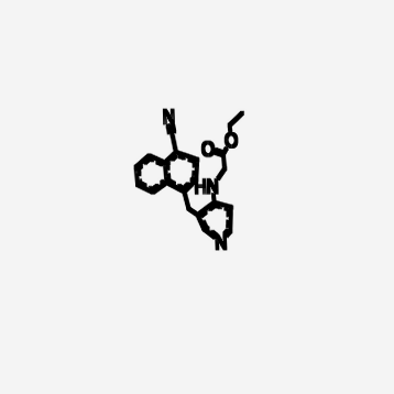 CCOC(=O)CNc1ccncc1Cc1ccc(C#N)c2ccccc12